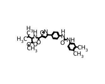 COC(=O)C(NC(=O)c1cc(-c2ccc(NC(=O)Nc3ccc(C)c(C)c3)cc2)no1)C(C)C